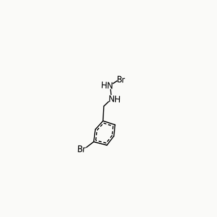 BrNNCc1cccc(Br)c1